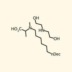 CCCCCCCCCCCCCCCCN(C)C(C)C(=O)O.OCCNCCO